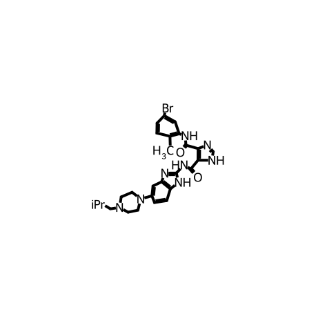 Cc1ccc(Br)cc1NC(=O)c1nc[nH]c1C(=O)Nc1nc2cc(N3CCN(CC(C)C)CC3)ccc2[nH]1